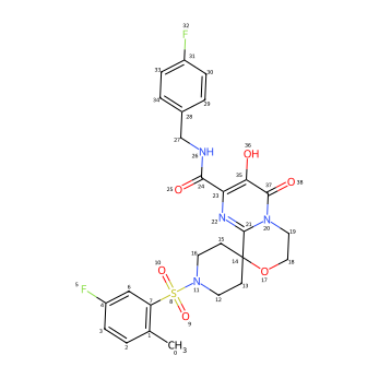 Cc1ccc(F)cc1S(=O)(=O)N1CCC2(CC1)OCCn1c2nc(C(=O)NCc2ccc(F)cc2)c(O)c1=O